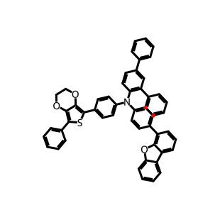 c1ccc(-c2ccc(N(c3ccc(-c4sc(-c5ccccc5)c5c4OCCO5)cc3)c3ccc(-c4cccc5c4oc4ccccc45)cc3)c(-c3ccccc3)c2)cc1